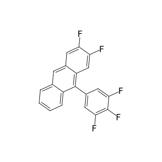 Fc1cc2cc3ccccc3c(-c3cc(F)c(F)c(F)c3)c2cc1F